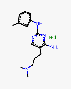 Cc1cccc(Nc2ncc(CCCN(C)C)c(N)n2)c1.Cl